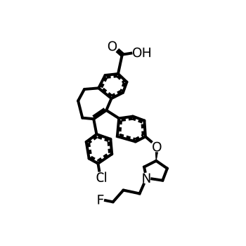 O=C(O)c1ccc2c(c1)CCCC(c1ccc(Cl)cc1)=C2c1ccc(O[C@H]2CCN(CCCF)C2)cc1